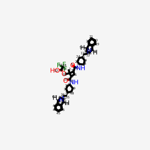 CC1(C)C(C(=O)N[C@H]2CC[C@H](CCN3[C@@H]4CC[C@H]3c3ccccc34)CC2)CC1C(=O)N[C@H]1CC[C@H](CCN2[C@@H]3CC[C@H]2c2ccccc23)CC1.O=C(O)C(F)(F)F